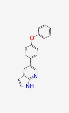 c1ccc(Oc2ccc(-c3cnc4[nH]ccc4c3)cc2)cc1